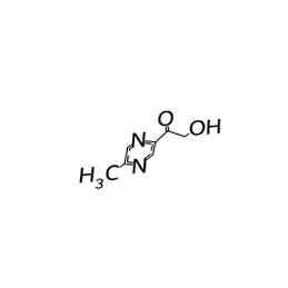 Cc1cnc(C(=O)CO)cn1